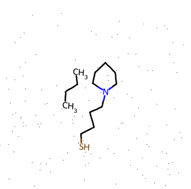 CCCC.SCCCCN1CCCCC1